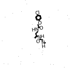 C=C(CCNC(=O)COc1ccc(Cl)cc1)NC(=O)CNC